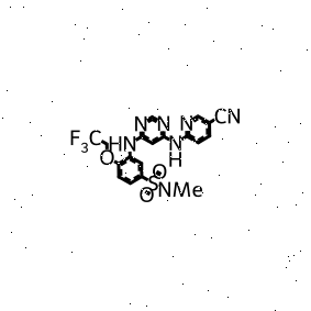 CNS(=O)(=O)c1ccc(OCC(F)(F)F)c(Nc2cc(Nc3ccc(C#N)cn3)ncn2)c1